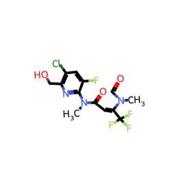 CN(C=O)/C(=C\C(=O)N(C)c1nc(CO)c(Cl)cc1F)C(F)(F)F